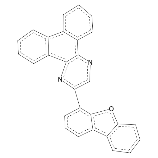 c1ccc2c(c1)oc1c(-c3cnc4c5ccccc5c5ccccc5c4n3)cccc12